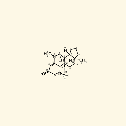 CN1C[C@H]2[C@@H]3CCC[C@@]3(C)CC[C@@H]2[C@]2(C)C1=CC(=O)CC2O